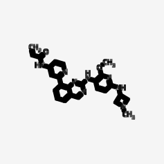 C=CC(=O)Nc1ccnc(-c2cccc3cnc(Nc4ccc(NC5CN(C)C5)nc4OC)nc23)c1